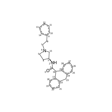 O=C(N[C@H]1CCN(CCc2ccccc2)C1)C1c2ccccc2Cc2ccccc21